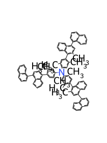 Cc1cc(N(c2cc(C)c(-c3c(C)cc(-c4cccc5ccccc45)c4ccccc34)cc2C)c2cc(C)c(-c3c(C)cc(-c4cccc5ccccc45)c4ccccc34)cc2C)c(C)cc1-c1c(C)cc(-c2cccc3ccccc23)c2ccccc12